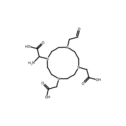 NC(C(=O)O)N1CCN(CC=O)CCN(CC(=O)O)CCN(CC(=O)O)CC1